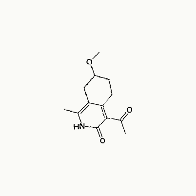 COC1CCc2c(c(C)[nH]c(=O)c2C(C)=O)C1